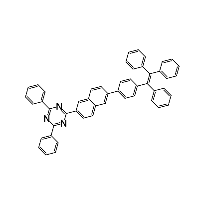 c1ccc(C(=C(c2ccccc2)c2ccc(-c3ccc4cc(-c5nc(-c6ccccc6)nc(-c6ccccc6)n5)ccc4c3)cc2)c2ccccc2)cc1